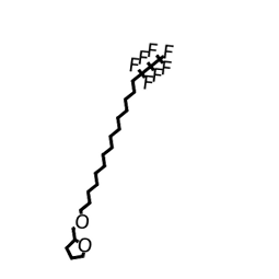 FC(F)(F)C(F)(F)C(F)(F)CCCCCCCCCCCCCCCOCC1CCCO1